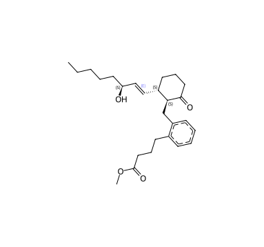 CCCCC[C@H](O)/C=C/[C@@H]1CCCC(=O)[C@H]1Cc1ccccc1CCCC(=O)OC